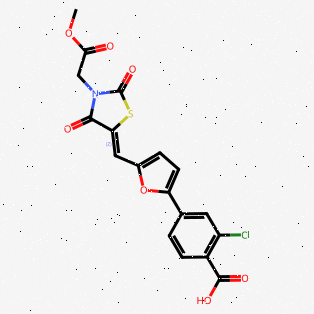 COC(=O)CN1C(=O)S/C(=C\c2ccc(-c3ccc(C(=O)O)c(Cl)c3)o2)C1=O